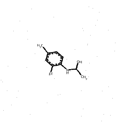 CCc1cc(C)ccc1NC(C)O